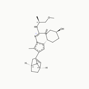 C=N/C(=N\n1c(C)c(C2=C[C@H]3CC[C@@H](C2)N3C)cc1[C@H]1CC[C@H](O)CC1)N[C@@H](C)COC